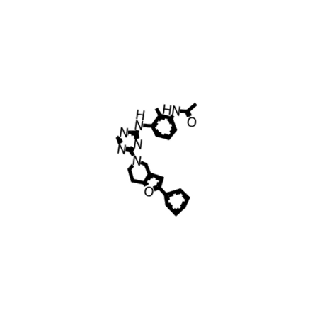 CC(=O)Nc1cccc(Nc2ncnc(N3CCc4oc(-c5ccccc5)cc4C3)n2)c1C